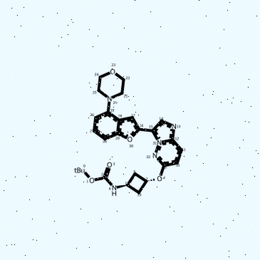 CC(C)(C)OC(=O)N[C@H]1C[C@H](Oc2ccc3ncc(-c4cc5c(N6CCOCC6)cccc5o4)n3n2)C1